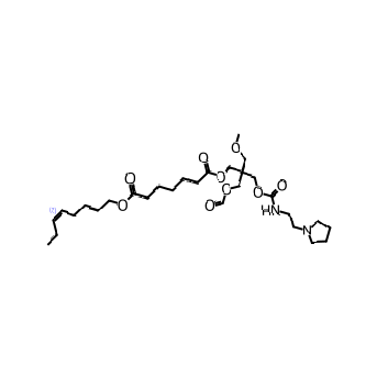 CC/C=C\CCCCOC(=O)CCCCCC(=O)OCC(COC)(COC=O)COC(=O)NCCN1CCCC1